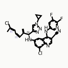 C=C(/C=C\C=C(/C)Cl)[C@H](Nc1cc(Cl)c2ncc(C#N)c(Nc3cnc(F)c(F)c3)c2c1)c1cn(C2CC2)nn1